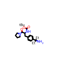 CCC(N)(CC)c1ccc(CC(NC(=O)OC(C)(C)C)C(=O)N2CCCC2)cc1